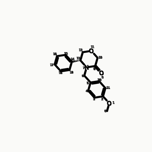 COc1ccc(CN2C(=O)COC[C@H]2c2ccccc2)cc1